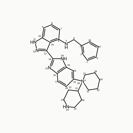 c1ccc(CNc2cccc3[nH]nc(-c4nc5ccc([N+]6(C7CCNCC7)CCCCC6)cc5[nH]4)c23)cc1